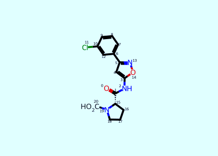 O=C(Nc1cc(-c2cccc(Cl)c2)no1)[C@@H]1CCCN1C(=O)O